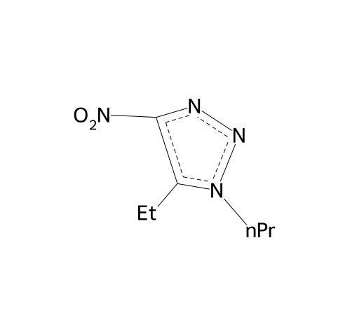 CCCn1nnc([N+](=O)[O-])c1CC